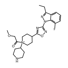 CCc1nn(-c2noc(C3CC[N+](C(=O)COC)(C4CCNCC4)CC3)n2)c2c(F)cccc12